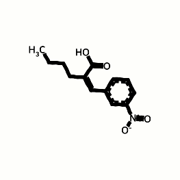 CCCCC(=Cc1cccc([N+](=O)[O-])c1)C(=O)O